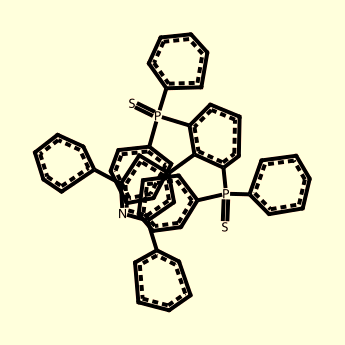 S=P(c1ccccc1)(c1ccccc1)c1cccc(P(=S)(c2ccccc2)c2ccccc2)c1-c1cc(-c2ccccc2)nc(-c2ccccc2)c1